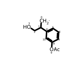 [CH2]C(CO)c1cccc(OC(C)=O)c1